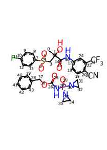 C[C@](O)(CS(=O)(=O)c1ccc(F)cc1)C(=O)Nc1ccc(C#N)c(C(F)(F)F)c1.O=C(NP(=O)(N1CC1)N1CC1)OCc1ccccc1